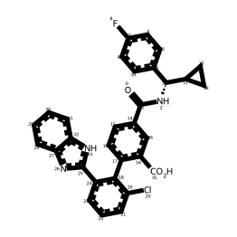 O=C(N[C@H](c1ccc(F)cc1)C1CC1)c1ccc(-c2c(Cl)cccc2-c2nc3ccccc3[nH]2)c(C(=O)O)c1